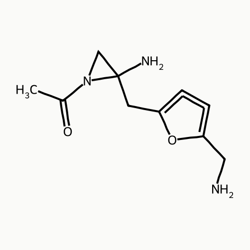 CC(=O)N1CC1(N)CC1=C=C=C(CN)O1